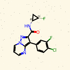 O=C(N[C@@H]1C[C@@H]1F)c1nn2cccnc2c1-c1ccc(Cl)c(F)c1